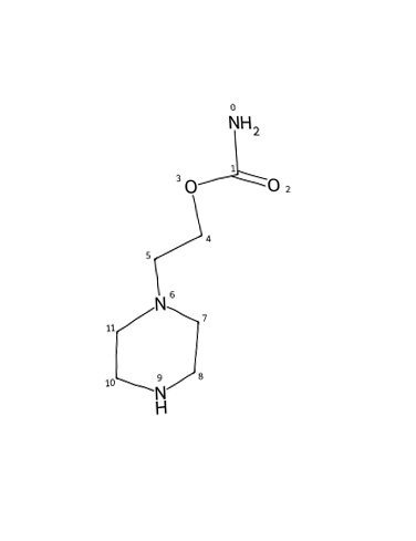 NC(=O)OCCN1CCNCC1